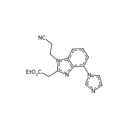 CCOC(=O)Cc1nc2c(-n3ccnc3)cccc2n1CCC#N